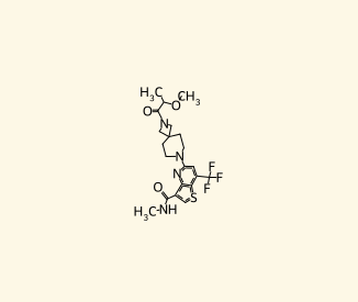 CNC(=O)c1csc2c(C(F)(F)F)cc(N3CCC4(CC3)CN(C(=O)C(C)OC)C4)nc12